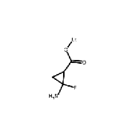 CCOC(=O)C1CC1(F)[SiH3]